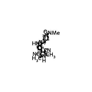 CNC(=O)N1CCN(Cc2n[nH]c3ccc(C4C(C#N)=C(C)NC(C)=C4C#N)cc23)CC1